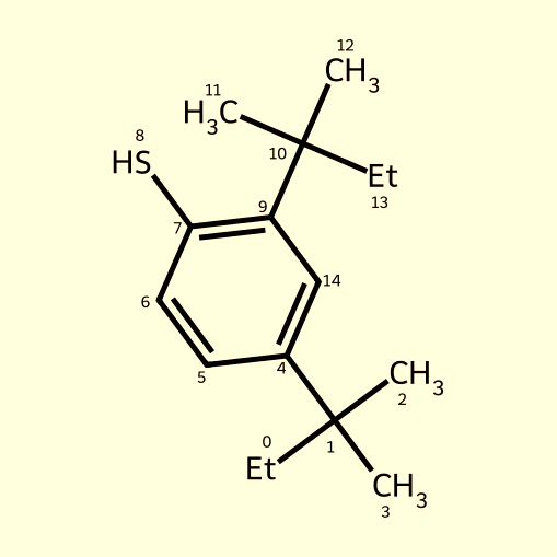 CCC(C)(C)c1ccc(S)c(C(C)(C)CC)c1